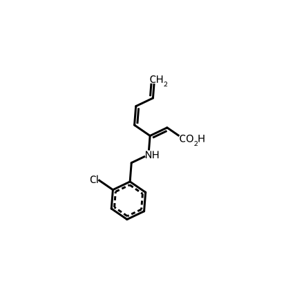 C=C/C=C\C(=C\C(=O)O)NCc1ccccc1Cl